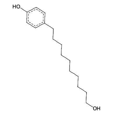 OCCCCCCCCCCc1ccc(O)cc1